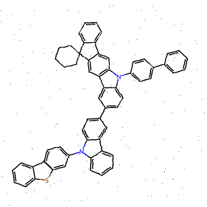 c1ccc(-c2ccc(-n3c4ccc(-c5ccc6c(c5)c5ccccc5n6-c5ccc6c(c5)sc5ccccc56)cc4c4cc5c(cc43)-c3ccccc3C53CCCCC3)cc2)cc1